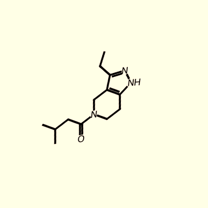 CCc1n[nH]c2c1CN(C(=O)CC(C)C)CC2